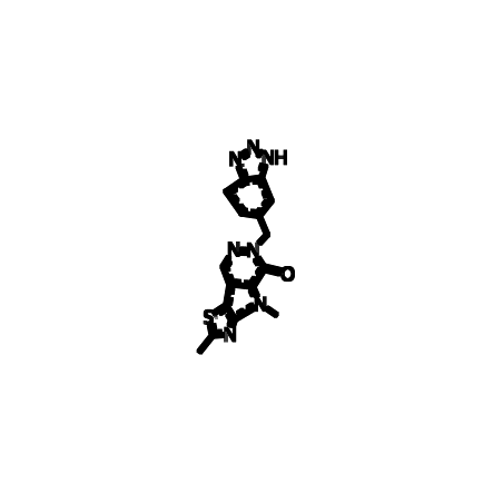 Cc1nc2c(s1)c1cnn(Cc3ccc4nn[nH]c4c3)c(=O)c1n2C